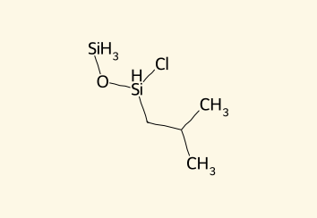 CC(C)C[SiH](Cl)O[SiH3]